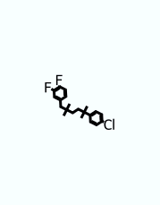 CC(C)(CCC(C)(C)c1ccc(Cl)cc1)Cc1ccc(F)c(F)c1